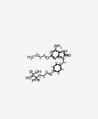 COCCOc1nc(N)c2[nH]c(=O)n(Cc3ccc(OCCCC(F)(F)P(=O)(O)O)cc3)c2n1